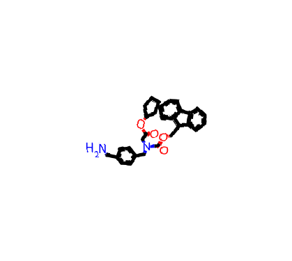 NCc1ccc(CN(CC(=O)OC2CCCC2)C(=O)OCC2c3ccccc3-c3ccccc32)cc1